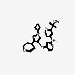 CC(C)(O)c1cc(Nc2cc(Oc3cn(C4CCC4)nc3C3CCOCC3)ccn2)ccn1